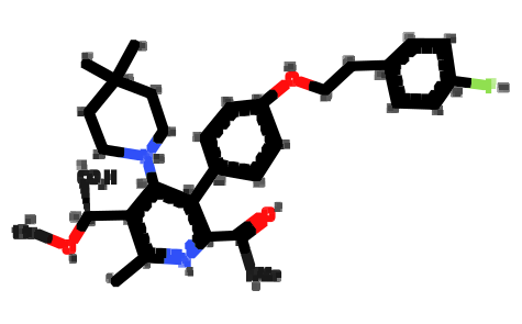 CNC(=O)c1nc(C)c([C@H](OC(C)(C)C)C(=O)O)c(N2CCC(C)(C)CC2)c1-c1ccc(OCCc2ccc(F)cc2)cc1